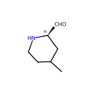 CC1CCN[C@@H](C=O)C1